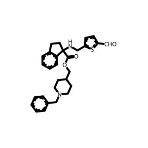 O=Cc1ccc(CNC2(C(=O)OCC3CCN(Cc4ccccc4)CC3)CCc3ccccc32)s1